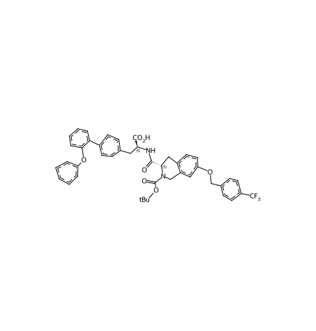 CC(C)(C)OC(=O)N1Cc2cc(OCc3ccc(C(F)(F)F)cc3)ccc2C[C@H]1C(=O)N[C@@H](Cc1ccc(-c2ccccc2Oc2ccccc2)cc1)C(=O)O